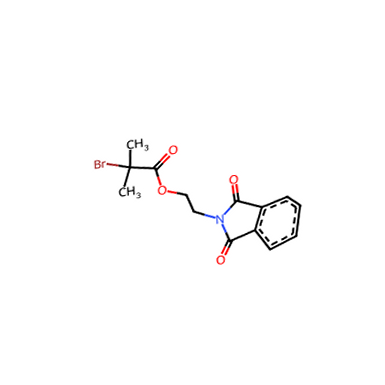 CC(C)(Br)C(=O)OCCN1C(=O)c2ccccc2C1=O